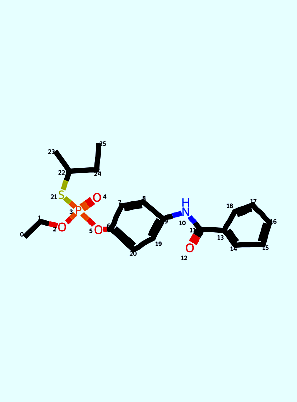 CCOP(=O)(Oc1ccc(NC(=O)c2ccccc2)cc1)SC(C)CC